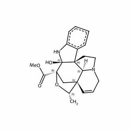 COC(=O)[C@@]12C[C@@]3(C=CCN4CC[C@@]5(c6ccccc6N[C@@]15O)[C@@H]43)[C@H](C)O2